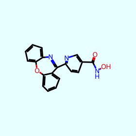 O=C(NO)c1ccc(C2=Nc3ccccc3Oc3ccccc32)nc1